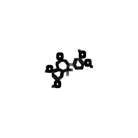 COc1cc(OC)c2c(c1)C(C)(C)C(c1ccc(OC)c(OC)c1)CC(=O)C2